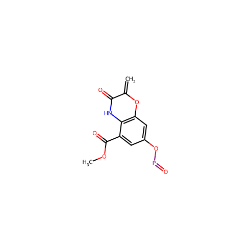 C=C1Oc2cc(OP=O)cc(C(=O)OC)c2NC1=O